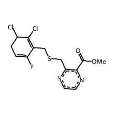 COC(=O)c1nccnc1CSCC1=C(Cl)C(Cl)CC=C1F